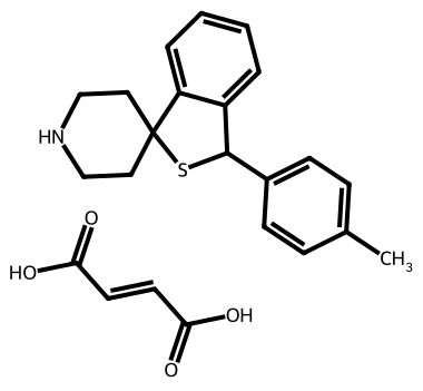 Cc1ccc(C2SC3(CCNCC3)c3ccccc32)cc1.O=C(O)C=CC(=O)O